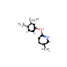 O=C(O)c1cc(Oc2ccc(C(F)(F)F)cn2)ccc1[N+](=O)[O-]